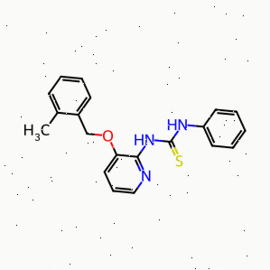 Cc1ccccc1COc1cccnc1NC(=S)Nc1ccccc1